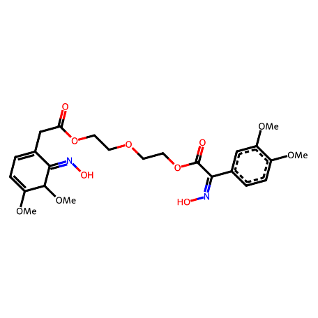 COC1=CC=C(CC(=O)OCCOCCOC(=O)C(=NO)c2ccc(OC)c(OC)c2)C(=NO)C1OC